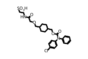 O=C(COCC1CCC(COC(=O)N(c2ccccc2)c2ccc(Cl)cc2)CC1)NCCS(=O)(=O)O